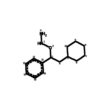 NNOC(CC1CCCCC1)c1ccccc1